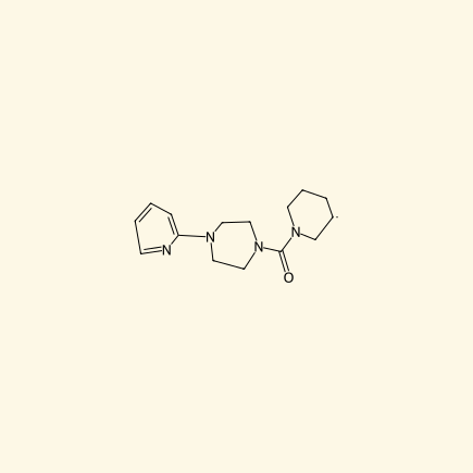 O=C(N1C[CH]CCC1)N1CCN(c2ccccn2)CC1